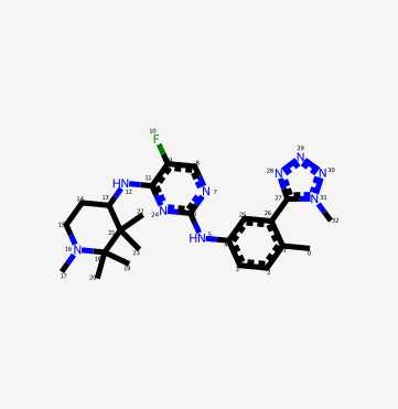 Cc1ccc(Nc2ncc(F)c(NC3CCN(C)C(C)(C)C3(C)C)n2)cc1-c1nnnn1C